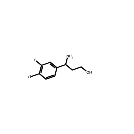 NC(CCO)c1ccc(Cl)c(F)c1